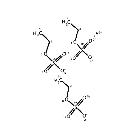 CCOS(=O)(=O)[O-].CCOS(=O)(=O)[O-].CCOS(=O)(=O)[O-].[Y+3]